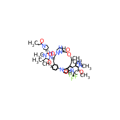 C=CC(=O)N1CC[C@H](C(=O)N(C)C(C(=O)N[C@H]2Cc3cccc(c3)-n3ccc4c(c(c(-c5cnn(C)c5[C@H](C)OC)n4CC(F)(F)F)CC(C)(C)COC(=O)[C@@H]4CCCN(N4)C2=O)c3=O)C(C)C)C1